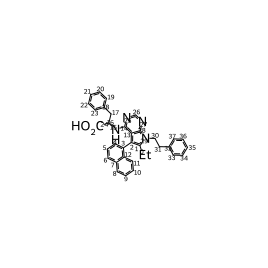 CCc1c(-c2cccc3ccccc23)c2c(NC(Cc3ccccc3)C(=O)O)ncnc2n1CCc1ccccc1